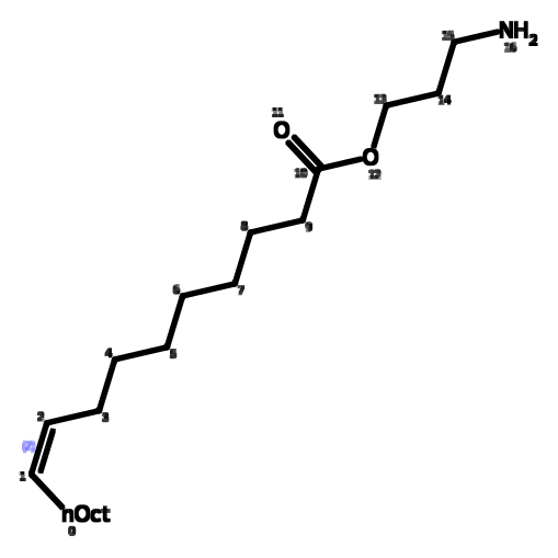 CCCCCCCC/C=C\CCCCCCCC(=O)OCCCN